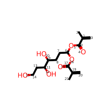 C=C(C)C(=O)OC(CCC(O)C(O)CCO)OC(=O)C(=C)C